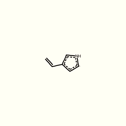 C=Cc1c[c][nH]c1